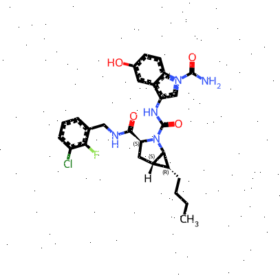 CCCC[C@H]1C2[C@H]1C[C@@H](C(=O)NCc1cccc(Cl)c1F)N2C(=O)Nc1cn(C(N)=O)c2ccc(O)cc12